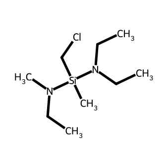 CCN(C)[Si](C)(CCl)N(CC)CC